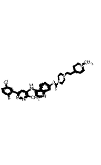 Cc1nnc(-c2cc(Cl)ccc2F)cc1Nc1ccnc2cc(OC(=O)N3CCN(CCC4CCN(C)CC4)CC3)ccc12